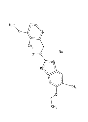 CCOc1nc2[nH]c([S+]([O-])Cc3nccc(OC)c3C)nc2cc1C.[Na]